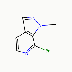 Cn1ncc2ccnc(Br)c21